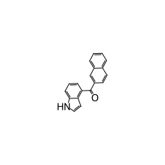 O=C(c1ccc2ccccc2c1)c1cccc2[nH]ccc12